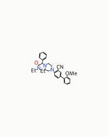 CCN(CC)C(=O)C(c1ccccc1)N1CCN(c2ccc(-c3ccccc3OC)cc2C#N)CC1